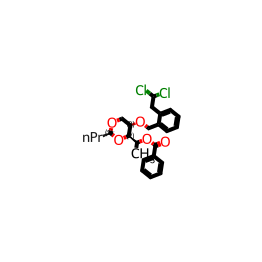 CCC[C@H]1OC[C@@H](OCc2ccccc2CC(Cl)Cl)[C@@H](C(C)OC(=O)c2ccccc2)O1